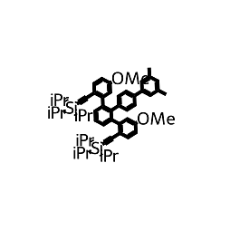 COc1ccc(C#C[Si](C(C)C)(C(C)C)C(C)C)c(-c2cccc(-c3cc(OC)ccc3C#C[Si](C(C)C)(C(C)C)C(C)C)c2-c2ccc(-c3cc(C)cc(C)c3)cc2)c1